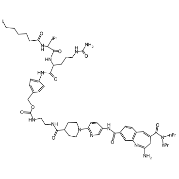 CCCN(CCC)C(=O)C1=Cc2ccc(C(=O)Nc3ccc(N4CCC(C(=O)NCCNC(=O)OCc5ccc(NC(=O)C(CCCNC(N)=O)NC(=O)C(NC(=O)CCCCCI)C(C)C)cc5)CC4)nc3)cc2N=C(N)C1